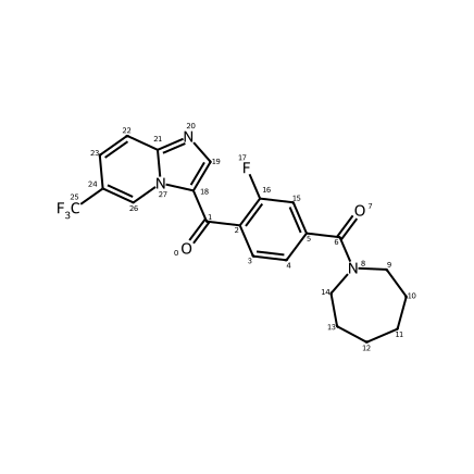 O=C(c1ccc(C(=O)N2CCCCCC2)cc1F)c1cnc2ccc(C(F)(F)F)cn12